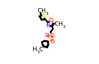 Cc1ccc(S(=O)(=O)OCCc2nc(-c3ccc(C)s3)oc2C)cc1